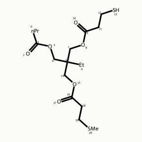 CCCC(=O)OCC(CC)(COC(=O)CCS)COC(=O)CCSC